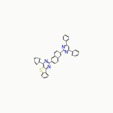 c1ccc(-c2cc(-c3ccccc3)nc(-c3ccc4cc(-c5nc(-c6ccccc6)c6sc7ccccc7c6n5)ccc4c3)n2)cc1